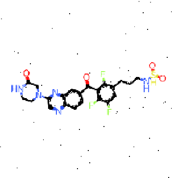 O=C1CN(c2cnc3ccc(C(=O)c4c(F)c(F)cc(CCCN[SH](=O)=O)c4F)cc3n2)CCN1